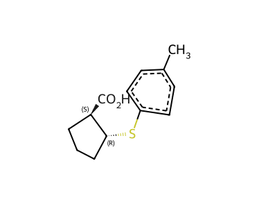 Cc1ccc(S[C@@H]2CCC[C@H]2C(=O)O)cc1